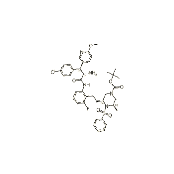 COc1ccc([C@H](c2ccc(Cl)cc2)[C@H](N)C(=O)Nc2cccc(F)c2CC[C@H]2CN(C(=O)OC(C)(C)C)C[C@@H](C)N2S(=O)(=O)c2ccccc2)cn1